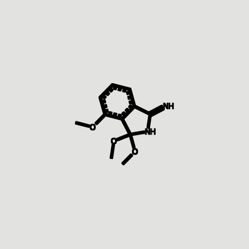 COc1cccc2c1C(OC)(OC)NC2=N